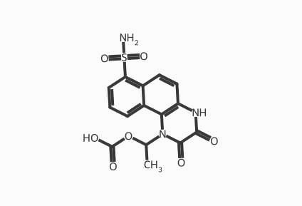 CC(OC(=O)O)n1c(=O)c(=O)[nH]c2ccc3c(S(N)(=O)=O)cccc3c21